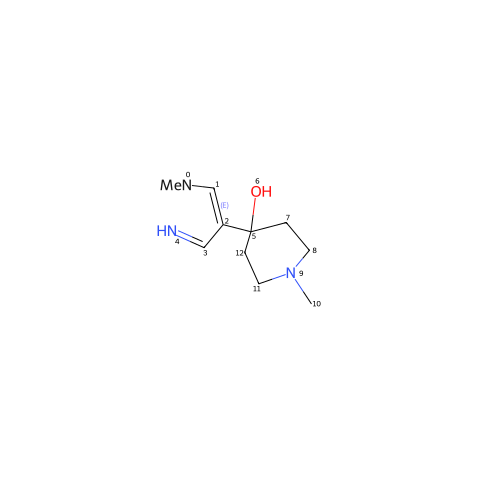 CN/C=C(\C=N)C1(O)CCN(C)CC1